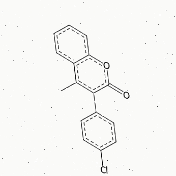 Cc1c(-c2ccc(Cl)cc2)c(=O)oc2ccccc12